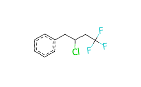 FC(F)(F)CC(Cl)Cc1ccccc1